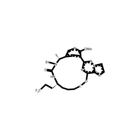 CCN1C(=O)N[C@@H](CCC(F)(F)F)CCCCOc2nc(nn3ccnc23)-c2cc(cnc2OC)[C@H]1C